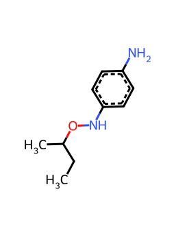 CCC(C)ONc1ccc(N)cc1